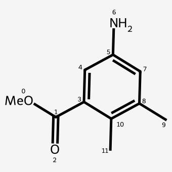 COC(=O)c1cc(N)cc(C)c1C